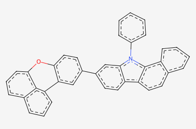 c1ccc(-n2c3cc(-c4ccc5c(c4)-c4cccc6cccc(c46)O5)ccc3c3ccc4ccccc4c32)cc1